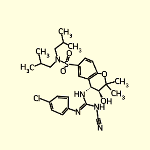 CC(C)CN(CC(C)C)S(=O)(=O)c1ccc2c(c1)[C@@H](N/C(=N\c1ccc(Cl)cc1)NC#N)[C@H](O)C(C)(C)O2